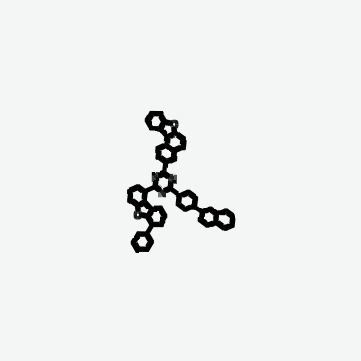 c1ccc(-c2cccc3c2oc2cccc(-c4nc(-c5ccc(-c6ccc7ccccc7c6)cc5)nc(-c5ccc6c(ccc7oc8ccccc8c76)c5)n4)c23)cc1